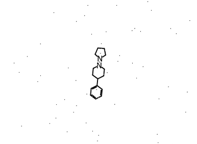 c1ccc(C2CCN(N3CCCC3)CC2)cc1